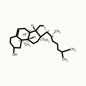 CC(C)CCC[C@@H](C)[C@H]1CC[C@H]2[C@@H]3CC=C4CCC(O)C[C@]4(C)[C@H]3CC[C@]12C